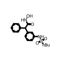 CCCCS(=O)(=O)Nc1cccc(C(C(=O)NO)c2ccccc2)c1